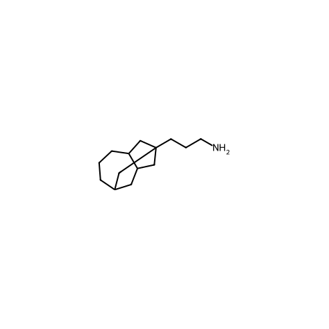 NCCCC12CC3CCCC(C1)C(C3)C2